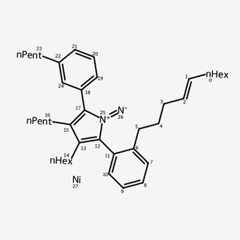 CCCCCCC=CCCCc1ccccc1C1=C(CCCCCC)C(CCCCC)=C(c2cccc(CCCCC)c2)[N+]1=[N-].[Ni]